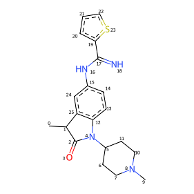 CC1C(=O)N(C2CCN(C)CC2)c2ccc(NC(=N)c3cccs3)cc21